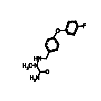 CN(NCc1ccc(Oc2ccc(F)cc2)cc1)C(N)=O